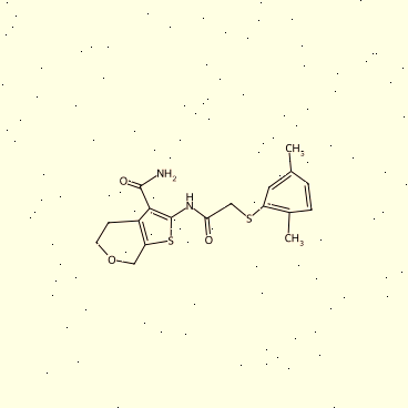 Cc1ccc(C)c(SCC(=O)Nc2sc3c(c2C(N)=O)CCOC3)c1